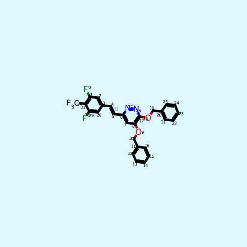 Fc1cc(/C=C/c2cc(OCc3ccccc3)c(OCc3ccccc3)nn2)cc(F)c1C(F)(F)F